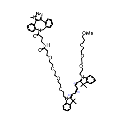 COCCOCCOCCOCC[N+]1=C(\C=C/C=C\C=C2\N(CCOCCOCCOCCOCCC(=O)NCCC(=O)N3Cc4ccccc4-c4nnn(C)c4-c4ccccc43)c3ccccc3C2(C)C)C(C)(C)c2ccccc21